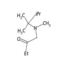 CCC(=O)CN(C)C(C)(C)C(C)C